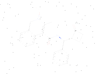 CCON1Cc2c(F)cccc2C(C(=O)N[C@H](c2cccc(F)c2)C2CCC2=O)=C1C